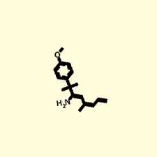 C=C/C=C(C)\C=C(/N)C(C)(C)c1ccc(OC)cc1